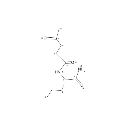 CCC[C@H](NC(=O)CCC(C)=O)C(N)=O